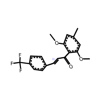 COc1cc(C)cc(OC)c1C(=O)/C=C/c1ccc(C(F)(F)F)cc1